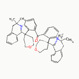 CC1(C)Cc2ccccc2C(C2(c3ccccc3C(=O)c3ccccc3C3(C4=NC(C)(C)Cc5ccccc54)CCOCC3)CCOCC2)=N1